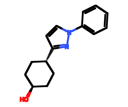 O[C@H]1CC[C@H](c2ccn(-c3ccccc3)n2)CC1